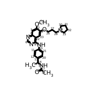 COc1cc2ncnc(Nc3ccc([C@H](C)NC(C)=O)cc3)c2cc1OCCCN1CCCC1